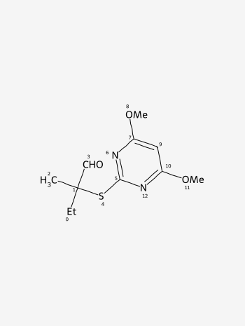 CCC(C)(C=O)Sc1nc(OC)cc(OC)n1